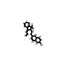 C=C/C=C1/C2=C(CCC=C2)C(C)(C)C1CCC1C=CC2CC(I)C=CC2C1